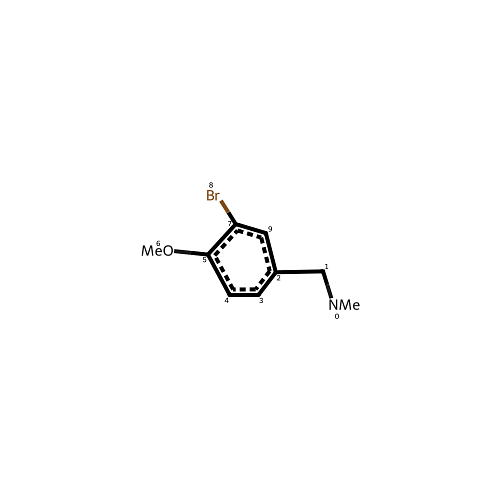 CNCc1ccc(OC)c(Br)c1